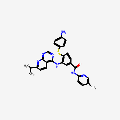 Cc1ccc(NC(=O)c2ccc(Sc3ccc(N)cc3)c(Nc3ncnc4nc(C(C)C)ccc34)c2)nc1